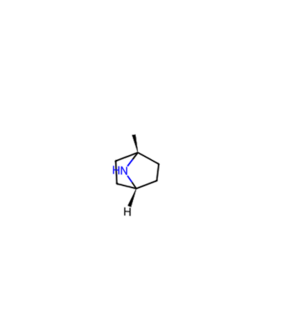 C[C@]12CC[C@H](CC1)N2